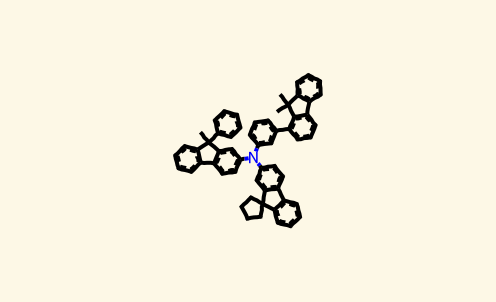 CC1(C)c2ccccc2-c2cccc(-c3cccc(N(c4ccc5c(c4)C4(CCCC4)c4ccccc4-5)c4ccc5c(c4)C(C)(c4ccccc4)c4ccccc4-5)c3)c21